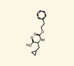 O=C(NC(CC1CC1)C(=O)O)OCCc1ccccc1